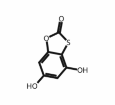 O=c1oc2cc(O)cc(O)c2s1